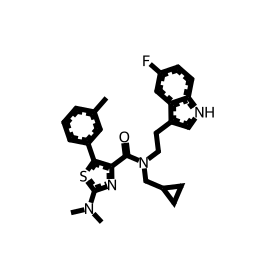 Cc1cccc(-c2sc(N(C)C)nc2C(=O)N(CCc2c[nH]c3ccc(F)cc23)CC2CC2)c1